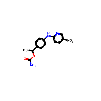 CC(OC(N)=O)c1ccc(Nc2ccc([N+](=O)[O-])cn2)cc1